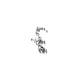 CC(C)c1c(-c2ccnc3[nH]ncc23)[nH]c2ccc(C3CCN(Cc4csc(N)n4)CC3)cc12